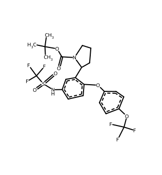 CC(C)(C)OC(=O)N1CCCC1c1cc(NS(=O)(=O)C(F)(F)F)ccc1Oc1ccc(OC(F)(F)F)cc1